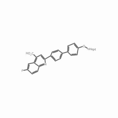 CCCCCCCOc1ccc(-c2ccc(-c3cc(C(=O)O)c4cc(F)ccc4n3)cc2)cc1